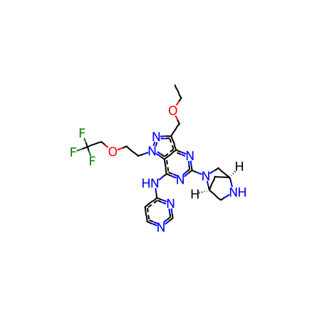 CCOCc1nn(CCOCC(F)(F)F)c2c(Nc3ccncn3)nc(N3C[C@@H]4C[C@H]3CN4)nc12